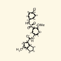 COc1ncc(NC(=O)c2nn(C)c3c2CCC3)cc1S(=O)(=O)Nc1ccc(Cl)cc1